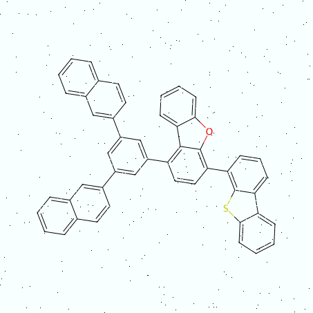 c1ccc2cc(-c3cc(-c4ccc5ccccc5c4)cc(-c4ccc(-c5cccc6c5sc5ccccc56)c5oc6ccccc6c45)c3)ccc2c1